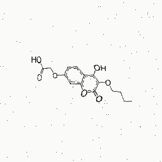 CCCCOc1c(O)c2ccc(OCC(=O)O)cc2oc1=O